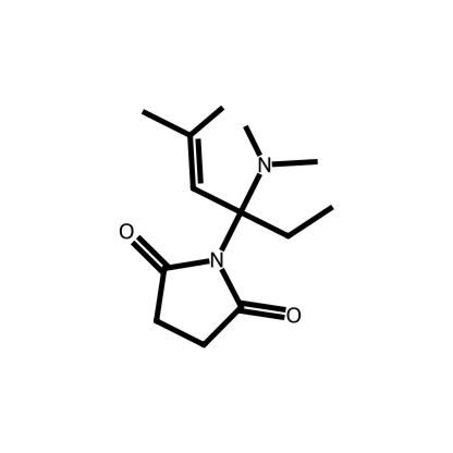 CCC(C=C(C)C)(N(C)C)N1C(=O)CCC1=O